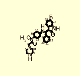 CN(C(=O)CN1CCNCC1)c1ccc(NC(=C2C(=O)Nc3cc(F)ccc32)c2ccccc2)cc1